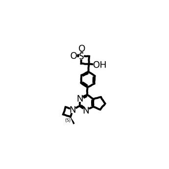 C[C@H]1CCN1c1nc2c(c(-c3ccc(C4(O)CS(=O)(=O)C4)cc3)n1)CCC2